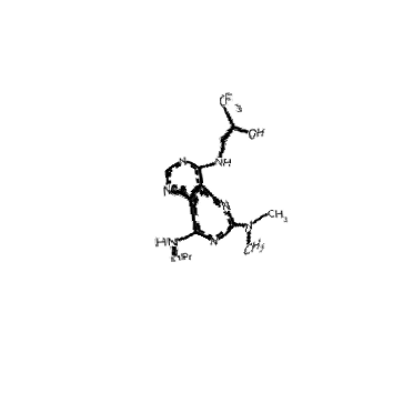 CCCNc1nc(N(C)C)nc2c(NCC(O)C(F)(F)F)ncnc12